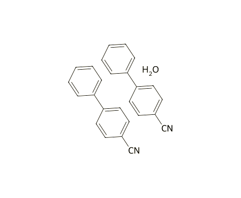 N#Cc1ccc(-c2ccccc2)cc1.N#Cc1ccc(-c2ccccc2)cc1.O